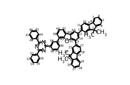 CC1(C)c2ccccc2-c2ccc(-c3cc(-c4ccc5c(c4)C(C)(C)c4ccccc4-5)c4oc5c(-c6cccc(-c7nc(-c8ccccc8)nc(-c8ccccc8)n7)c6)cccc5c4c3)cc21